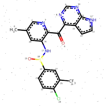 Cc1cnc(C(=O)c2ncnc3[nH]ccc23)c(N[S+]([O-])c2ccc(Cl)c(C(F)(F)F)c2)c1